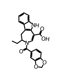 CCC1Cc2c([nH]c3ccccc23)C(C(=O)O)=CN1C(=O)c1ccc2c(c1)OCO2